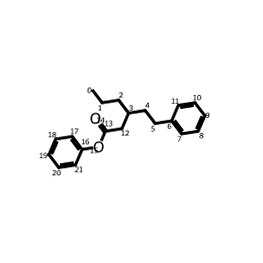 CCCC(CCc1ccccc1)CC(=O)Oc1ccccc1